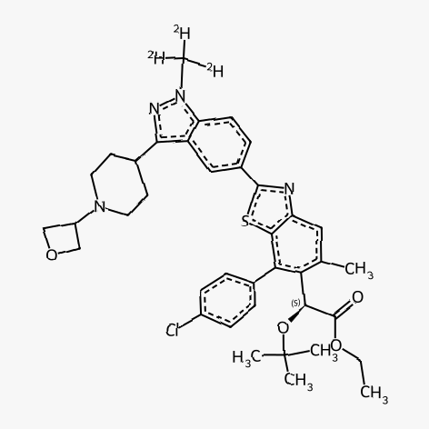 [2H]C([2H])([2H])n1nc(C2CCN(C3COC3)CC2)c2cc(-c3nc4cc(C)c([C@H](OC(C)(C)C)C(=O)OCC)c(-c5ccc(Cl)cc5)c4s3)ccc21